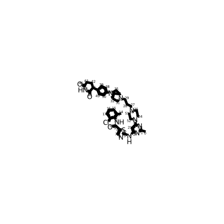 Cc1nc(Nc2ncc(C(=O)Nc3c(C)cccc3Cl)s2)cc(N2CCN(CCCN3CC4CC3CN4c3ccc(C4CCC(=O)NC4=O)cc3)CC2)n1